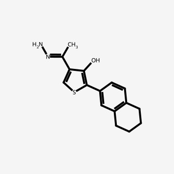 C/C(=N\N)c1csc(-c2ccc3c(c2)CCCC3)c1O